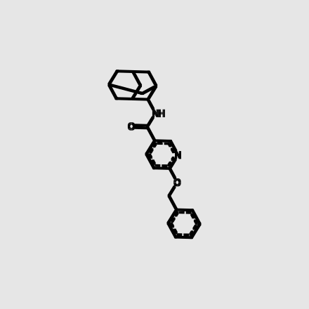 O=C(NC1C2CC3CC(C2)CC1C3)c1ccc(OCc2ccccc2)nc1